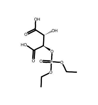 CCOP(=O)(OCC)O[C@@H](C(=O)O)[C@@H](O)C(=O)O